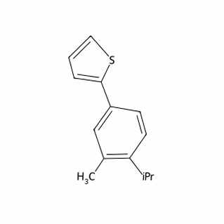 Cc1cc(-c2cccs2)ccc1C(C)C